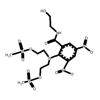 CS(=O)(=O)OCCN(CCOS(C)(=O)=O)c1c(C(=O)NCCO)cc([N+](=O)[O-])cc1[N+](=O)[O-]